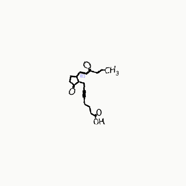 CCCC(=O)/C=C/C1CCC(=O)C1CC#CCCCC(=O)O